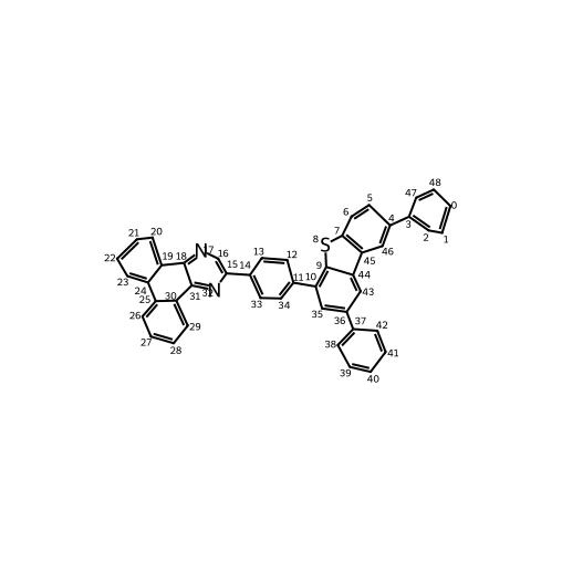 c1ccc(-c2ccc3sc4c(-c5ccc(-c6cnc7c8ccccc8c8ccccc8c7n6)cc5)cc(-c5ccccc5)cc4c3c2)cc1